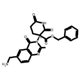 Cc1nc2ccc(CN)cc2c(=O)n1[C@@]1(C(=O)OCc2ccccc2)CCC(=O)NC1=O